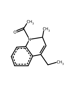 CCC1=CC(C)N(C(C)=O)c2ccccc21